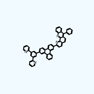 c1ccc(-c2c3ccccc3nc3c2ccc2ccc(-c4ccc5c6ccc(-c7cc(-c8ccccn8)cc(-c8ccccn8)c7)cc6c6ccccc6c5c4)nc23)cc1